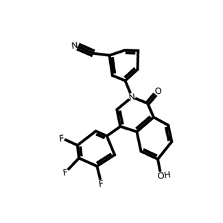 N#Cc1cccc(-n2cc(-c3cc(F)c(F)c(F)c3)c3cc(O)ccc3c2=O)c1